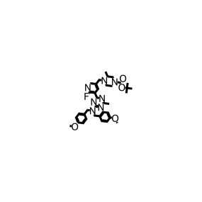 COc1ccc(CN(Cc2ccc(OC)cc2)c2nc(C)nc(-c3cc(CN4CCN(C(=O)OC(C)(C)C)CC4C)cnc3F)n2)cc1